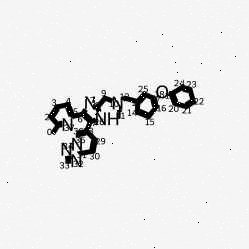 Cc1cccc(-c2nc(CN(I)Cc3cccc(Oc4ccccc4)c3)[nH]c2-c2ccc3ncnn3c2)n1